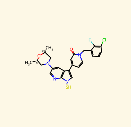 C[C@@H]1CN(c2cnc3c(c2)c(-c2ccn(Cc4cccc(Cl)c4F)c(=O)c2)cn3S)C[C@@H](C)O1